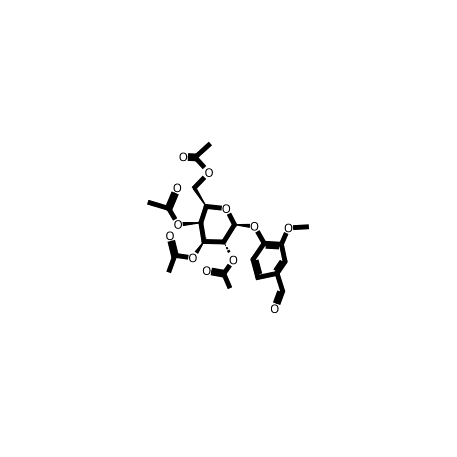 COc1cc(C=O)ccc1O[C@@H]1O[C@H](COC(C)=O)[C@H](OC(C)=O)[C@H](OC(C)=O)[C@H]1OC(C)=O